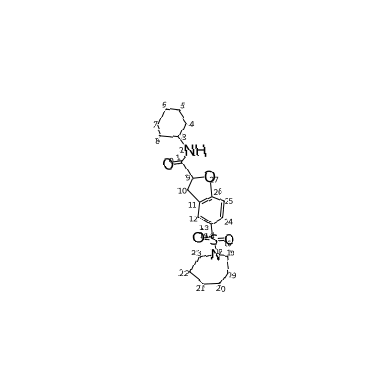 O=C(NC1CCCCC1)C1Cc2cc(S(=O)(=O)N3CCCCCC3)ccc2O1